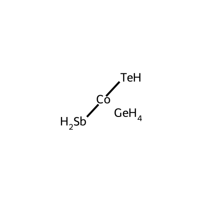 [GeH4].[SbH2][Co][TeH]